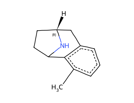 Cc1cccc2c1C1CC[C@H](C2)N1